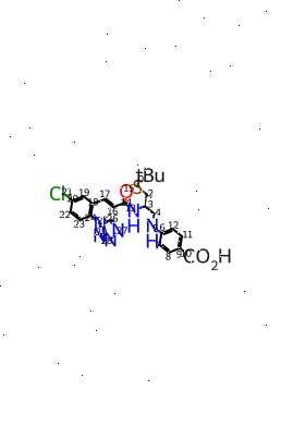 CC(C)(C)SC[C@@H](CNc1ccc(C(=O)O)cc1)NC(=O)/C=C/c1cc(Cl)ccc1-n1cnnn1